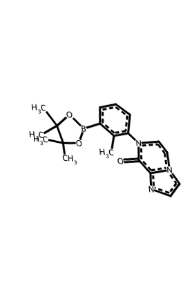 Cc1c(B2OC(C)(C)C(C)(C)O2)cccc1-n1ccn2ccnc2c1=O